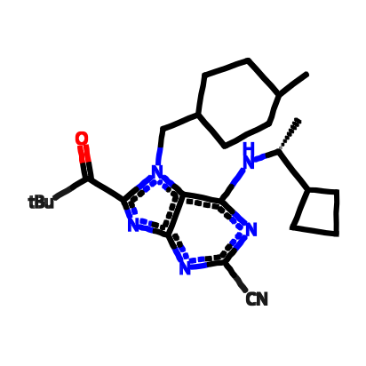 CC1CCC(Cn2c(C(=O)C(C)(C)C)nc3nc(C#N)nc(N[C@H](C)C4CCC4)c32)CC1